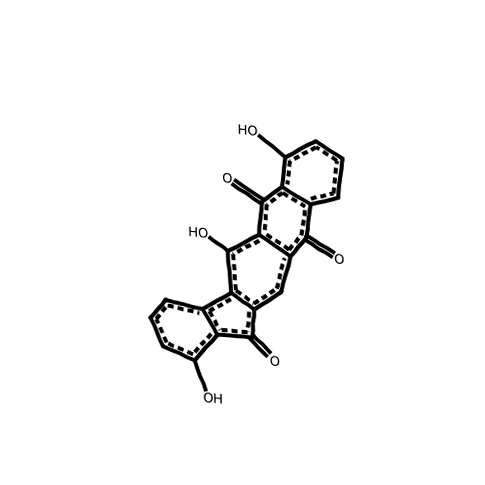 O=c1c2cccc(O)c2c(=O)c2c(O)c3c(cc12)c(=O)c1c(O)cccc13